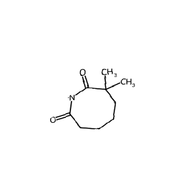 CC1(C)CCCCC(=O)[N]C1=O